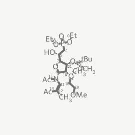 CCOP(=O)(C[C@@H](O)[C@H]1O[C@@H](N(/C=C(/C)C(C)=O)C(C)=O)[C@H](OCCOC)[C@@H]1O[Si](C)(C)C(C)(C)C)OCC